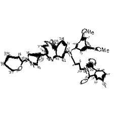 COc1cc(OC)cc(N(CCCN2C(=O)c3ccccc3C2=O)c2ccc3ncc(-c4cnn(C5CCCCO5)c4)nc3c2)c1